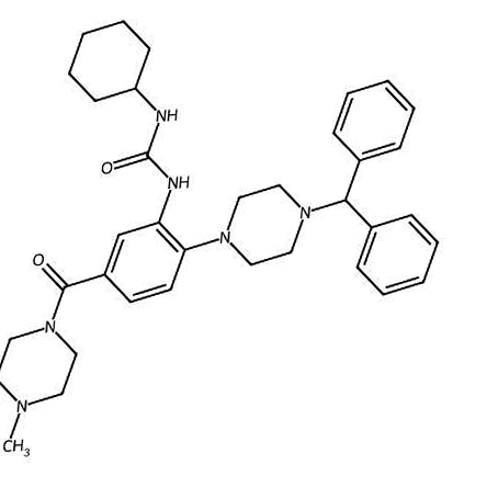 CN1CCN(C(=O)c2ccc(N3CCN(C(c4ccccc4)c4ccccc4)CC3)c(NC(=O)NC3CCCCC3)c2)CC1